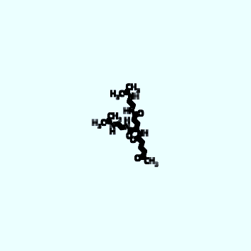 CC(=O)CCCC(=O)NC(CCC(=O)NCCNC(C)C)C(=O)NCCNC(C)C